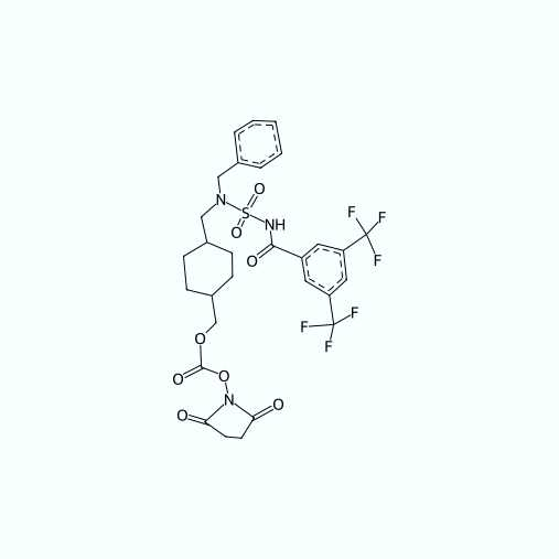 O=C(OCC1CCC(CN(Cc2ccccc2)S(=O)(=O)NC(=O)c2cc(C(F)(F)F)cc(C(F)(F)F)c2)CC1)ON1C(=O)CCC1=O